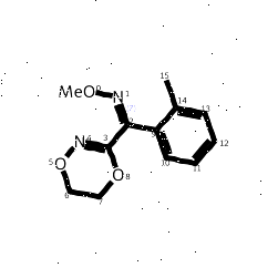 CO/N=C(\C1=NOCCO1)c1ccccc1C